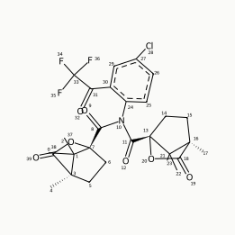 CC1(C)[C@@]2(C)CC[C@@]1(C(=O)N(C(=O)[C@]13CC[C@@](C)(C(=O)O1)C3(C)C)c1ccc(Cl)cc1C(=O)C(F)(F)F)OC2=O